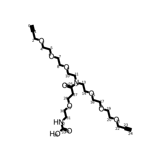 C#CCOCCOCCOCCN(CCOCCOCCOCC#C)C(=O)CCOCCNC(=O)O